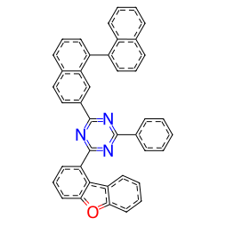 c1ccc(-c2nc(-c3ccc4cccc(-c5cccc6ccccc56)c4c3)nc(-c3cccc4oc5ccccc5c34)n2)cc1